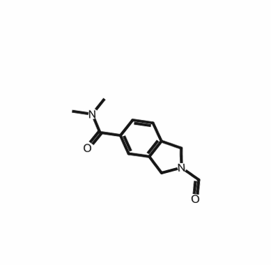 CN(C)C(=O)c1ccc2c(c1)CN(C=O)C2